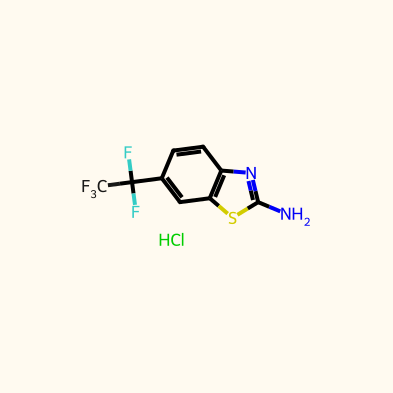 Cl.Nc1nc2ccc(C(F)(F)C(F)(F)F)cc2s1